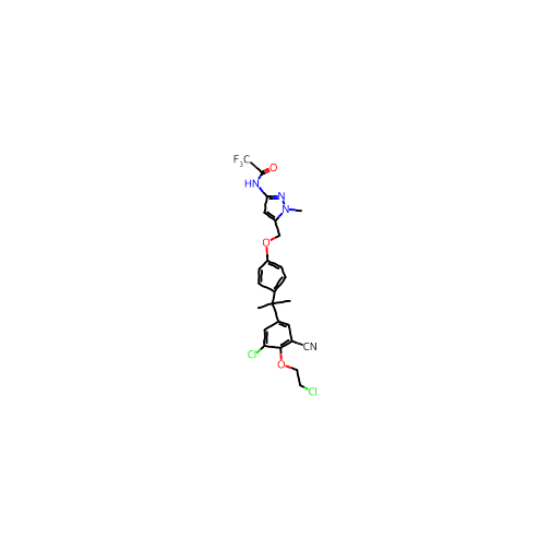 Cn1nc(NC(=O)C(F)(F)F)cc1COc1ccc(C(C)(C)c2cc(Cl)c(OCCCl)c(C#N)c2)cc1